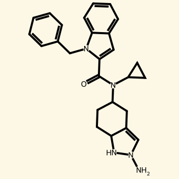 NN1C=C2CC(N(C(=O)c3cc4ccccc4n3Cc3ccccc3)C3CC3)CCC2N1